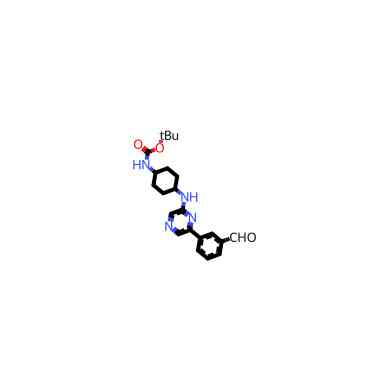 CC(C)(C)OC(=O)NC1CCC(Nc2cncc(-c3cccc(C=O)c3)n2)CC1